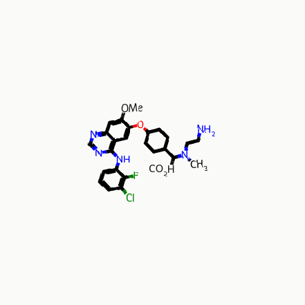 COc1cc2ncnc(Nc3cccc(Cl)c3F)c2cc1OC1CCC(C(C(=O)O)N(C)CCN)CC1